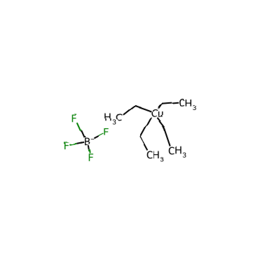 C[CH2][Cu]([CH2]C)([CH2]C)[CH2]C.F[B-](F)(F)F